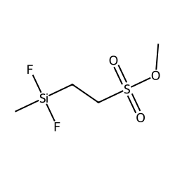 COS(=O)(=O)CC[Si](C)(F)F